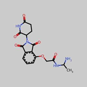 CC(N)NC(=O)COc1cccc2c1C(=O)N(C1CCC(=O)NC1=O)C2=O